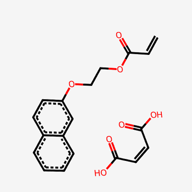 C=CC(=O)OCCOc1ccc2ccccc2c1.O=C(O)/C=C\C(=O)O